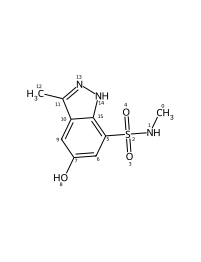 CNS(=O)(=O)c1cc(O)cc2c(C)n[nH]c12